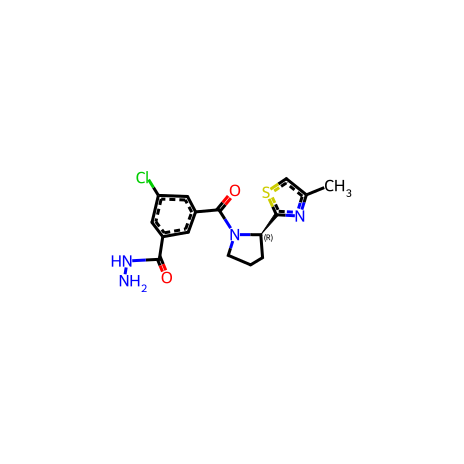 Cc1csc([C@H]2CCCN2C(=O)c2cc(Cl)cc(C(=O)NN)c2)n1